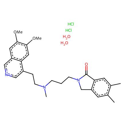 COc1cc2cncc(CCN(C)CCCN3Cc4cc(C)c(C)cc4C3=O)c2cc1OC.Cl.Cl.O.O